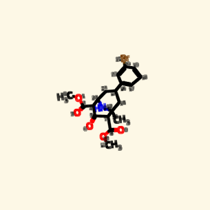 COC(=O)C1C(=O)C(C(=O)OC)C2(C)CC(c3cccc(Br)c3)CC1N2